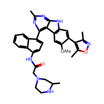 COc1cc2c(cc1-c1c(C)noc1C)[nH]c1nc(C)nc(-c3ccc(NC(=O)CN4CCNC(C)C4)c4ccccc34)c12